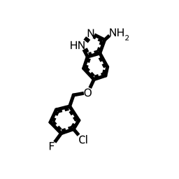 Nc1n[nH]c2cc(OCc3ccc(F)c(Cl)c3)ccc12